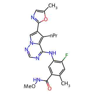 CCCc1c(-c2ncc(C)o2)cn2ncnc(Nc3cc(C(=O)NOC)c(C)cc3F)c12